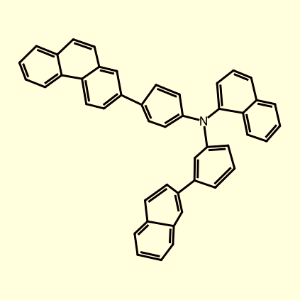 c1cc(-c2ccc3ccccc3c2)cc(N(c2ccc(-c3ccc4c(ccc5ccccc54)c3)cc2)c2cccc3ccccc23)c1